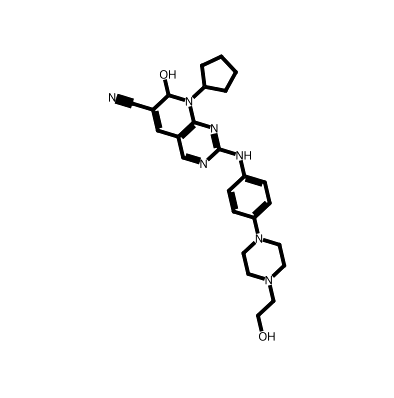 N#CC1=Cc2cnc(Nc3ccc(N4CCN(CCO)CC4)cc3)nc2N(C2CCCC2)C1O